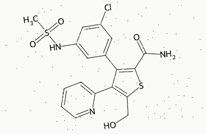 CS(=O)(=O)Nc1cc(Cl)cc(-c2c(C(N)=O)sc(CO)c2-c2ccccn2)c1